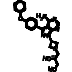 Nc1ncnc2c1c(-c1ccc(Oc3ccccc3)cc1)nn2C1CN(C[C@H](O)CO)C1